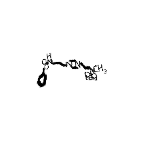 CN(CCCN1CCN(CCCNC(=O)OCc2ccccc2)CC1)C(=O)OC(C)(C)C